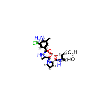 Cc1cc(C(=O)NC(C)C(=O)N2CCC[C@H]2C(=O)NC(C=O)CC(=O)O)cc(Cl)c1N